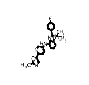 Cc1ncc(-c2ccc(Nc3cccc4c3nc(-c3ccc(F)cc3)n4C(C)C)cn2)o1